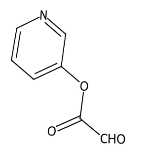 O=CC(=O)Oc1cccnc1